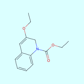 CCOC(=O)N1CC(OCC)=Cc2ccccc21